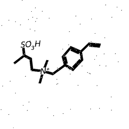 C=Cc1ccc(C[N+](C)(C)CCC(C)S(=O)(=O)O)cc1